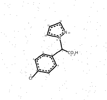 O=C(O)C(c1ccc(Cl)cc1)n1cccn1